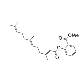 COC(=O)c1ccccc1OC(=O)/C=C(\C)CC/C=C(\C)CCC=C(C)C